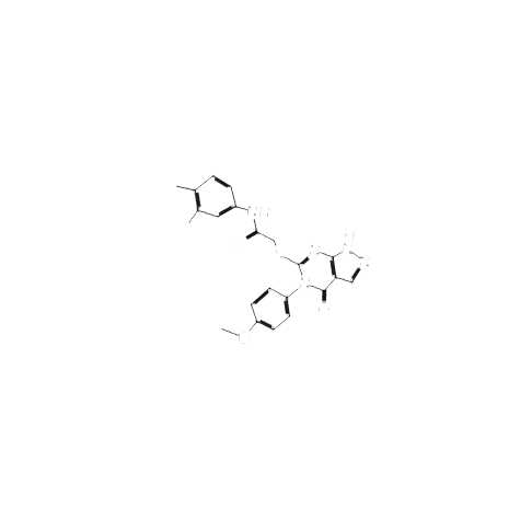 COc1ccc(-n2c(SCC(=O)Nc3ccc(C)c(C)c3)nc3[nH]ncc3c2=O)cc1